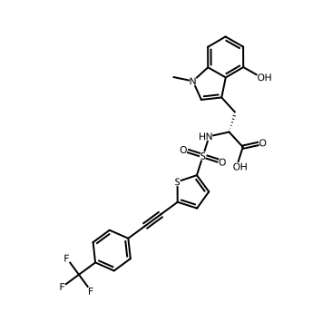 Cn1cc(C[C@@H](NS(=O)(=O)c2ccc(C#Cc3ccc(C(F)(F)F)cc3)s2)C(=O)O)c2c(O)cccc21